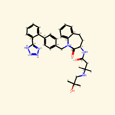 CC(C)(O)CNC(C)(C)CC(=O)N[C@@H]1CCc2ccccc2N(Cc2ccc(-c3ccccc3-c3nnn[nH]3)cc2)C1=O